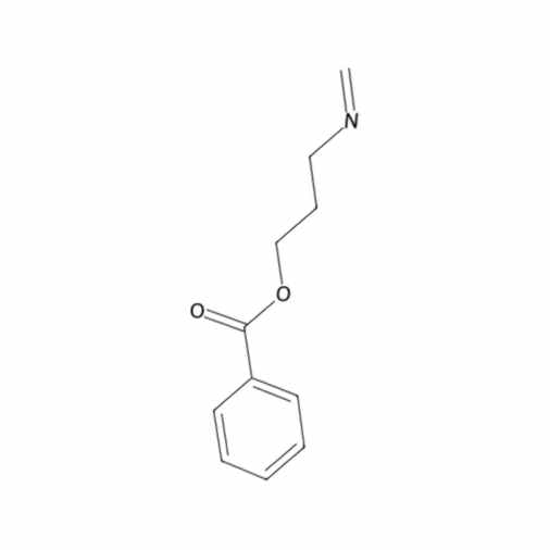 C=NCCCOC(=O)c1ccccc1